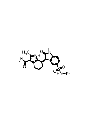 Cc1[nH]c2c(c1C(N)=O)CCC/C2=C1/C(=O)Nc2ccc(S(=O)(=O)NC(C)C)cc21